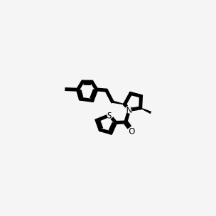 Cc1ccc(CC[C@H]2CC[C@@H](C)N2C(=O)c2cccs2)cc1